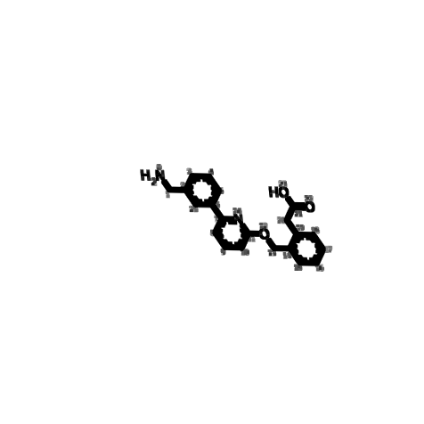 NCc1cccc(-c2cccc(OCc3ccccc3CC(=O)O)n2)c1